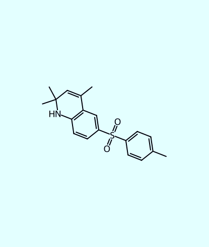 CC1=CC(C)(C)Nc2ccc(S(=O)(=O)c3ccc(C)cc3)cc21